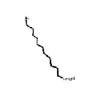 CCCCCCCCCCCCCCCCC[CH2][Au]